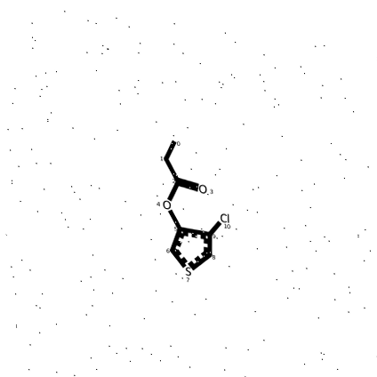 CCC(=O)Oc1cscc1Cl